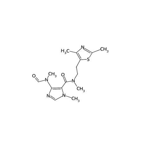 Cc1nc(C)c(CCN(C)C(=O)c2c(N(C)C=O)ncn2C)s1